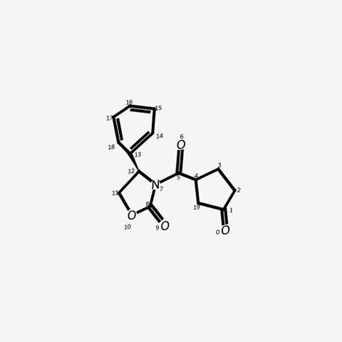 O=C1CCC(C(=O)N2C(=O)OC[C@H]2c2ccccc2)C1